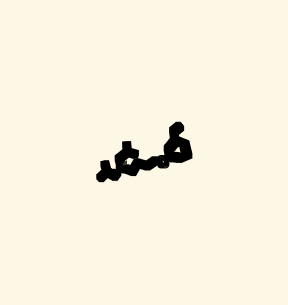 C=Cc1cccc(OCCCCN(CC(C)C)CC(C)C)c1